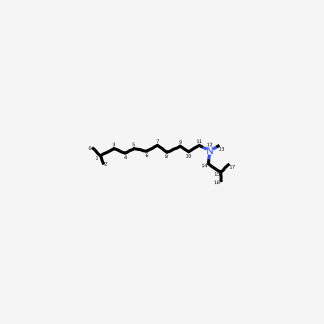 CC(C)CCCCCCCCCN(C)CC(C)C